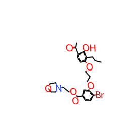 CCCc1c(OCCCOc2cc(C(=O)OCCN3CCOCC3)ccc2Br)ccc(C(C)=O)c1O